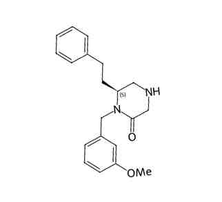 COc1cccc(CN2C(=O)CNC[C@@H]2CCc2ccccc2)c1